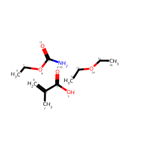 C=C(C)C(=O)O.CCOC(N)=O.CCOCC